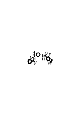 CN(C)c1nc(N[C@H]2CC[C@@H](CNC(=O)c3ccc(C(F)(F)F)cc3F)CC2)nc2ccccc12